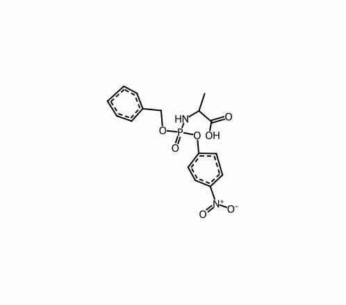 CC(NP(=O)(OCc1ccccc1)Oc1ccc([N+](=O)[O-])cc1)C(=O)O